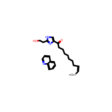 CCCCCCCC/C=C\CCCCCCCC(=O)c1c[nH]c(CCO)n1.c1ccc2ncccc2c1